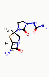 NC(=O)NN1CCN([C@]2(C(=O)O)CN3C(=O)[C@@H](N)[C@H]3S2)C1=O